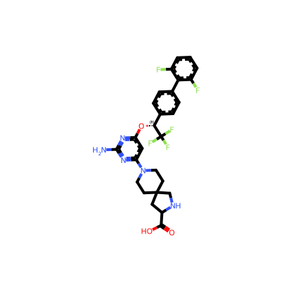 Nc1nc(O[C@H](c2ccc(-c3c(F)cccc3F)cc2)C(F)(F)F)cc(N2CCC3(CC2)CNC(C(=O)O)C3)n1